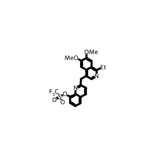 CCc1ncc(Cc2ccc3cccc(OS(=O)(=O)C(F)(F)F)c3n2)c2cc(OC)c(OC)cc12